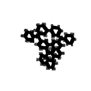 c1ccc(N(c2ccccc2)c2ccc3c4c(ccc3c2)-c2cccc3cccc(c23)N4c2ccc(N(c3ccccc3)c3ccccn3)cc2)cc1